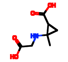 CC1(NCC(=O)O)CC1C(=O)O